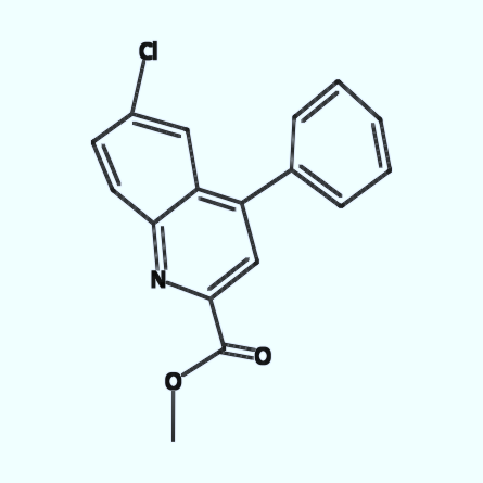 COC(=O)c1cc(-c2ccccc2)c2cc(Cl)ccc2n1